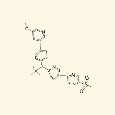 COc1cncc(-c2ccc(C(c3ccc(-c4ccc(S(C)(=O)=O)nn4)cn3)C(C)(C)C)cc2)c1